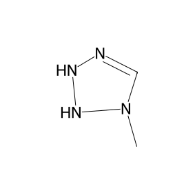 CN1C=NNN1